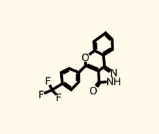 O=c1[nH]nc2c3ccccc3oc(-c3ccc(C(F)(F)F)cc3)c1-2